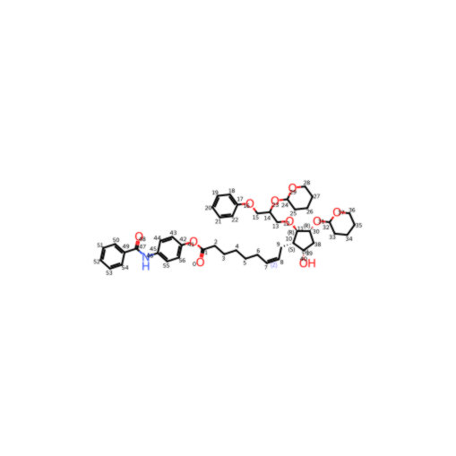 O=C(CCCCC/C=C\C[C@@H]1[C@@H](OCC(COc2ccccc2)OC2CCCCO2)[C@H](OC2CCCCO2)C[C@@H]1O)Oc1ccc(NC(=O)c2ccccc2)cc1